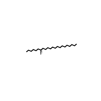 CCCCCCCCCCCCCCC[C](F)CCCCCC